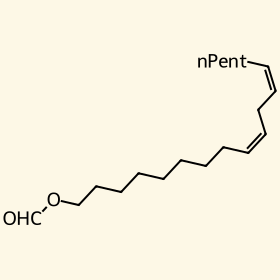 CCCCC/C=C\C/C=C\CCCCCCCCOC=O